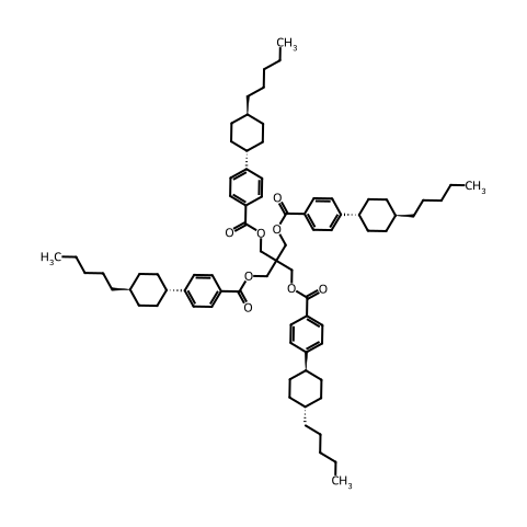 CCCCC[C@H]1CC[C@H](c2ccc(C(=O)OCC(COC(=O)c3ccc([C@H]4CC[C@H](CCCCC)CC4)cc3)(COC(=O)c3ccc([C@H]4CC[C@H](CCCCC)CC4)cc3)COC(=O)c3ccc([C@H]4CC[C@H](CCCCC)CC4)cc3)cc2)CC1